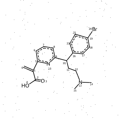 C=C(C(=O)O)c1cccc(C(CCN(C)C)c2ccc(Br)cc2)n1